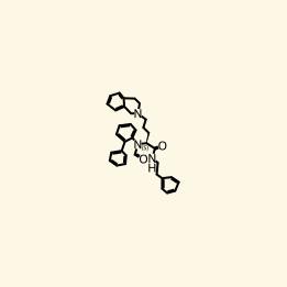 O=CN(c1ccccc1-c1ccccc1)[C@@H](CCCN1CCc2ccccc2C1)C(=O)NCCc1ccccc1